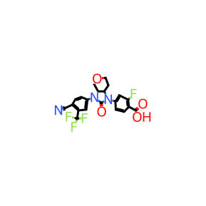 N#Cc1ccc(N2C(=O)N(c3ccc(C(=O)O)c(F)c3)C3CCOCC32)cc1C(F)(F)F